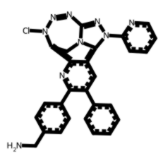 NCc1ccc(-c2nc3c(cc2-c2ccccc2)=C2N4CC=3N(Cl)N=NC4=NN2c2ccccn2)cc1